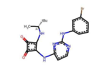 C[C@@H](Nc1c(Nc2ccnc(Nc3cccc(Br)c3)n2)c(=O)c1=O)C(C)(C)C